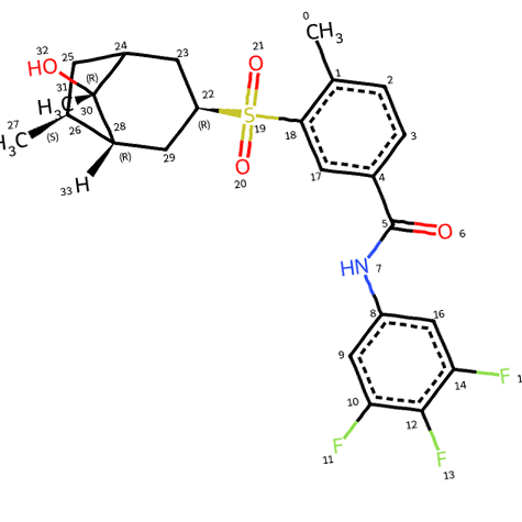 Cc1ccc(C(=O)Nc2cc(F)c(F)c(F)c2)cc1S(=O)(=O)[C@@H]1CC2C[C@H](C)[C@@H](C1)[C@]2(C)O